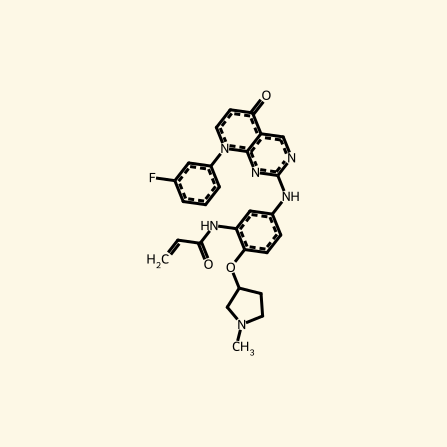 C=CC(=O)Nc1cc(Nc2ncc3c(=O)ccn(-c4cccc(F)c4)c3n2)ccc1OC1CCN(C)C1